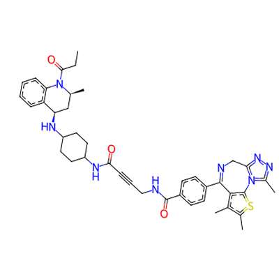 CCC(=O)N1c2ccccc2[C@H](NC2CCC(NC(=O)C#CCNC(=O)c3ccc(C4=NCc5nnc(C)n5-c5sc(C)c(C)c54)cc3)CC2)C[C@@H]1C